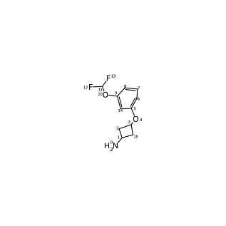 NC1CC(Oc2cccc(OC(F)F)c2)C1